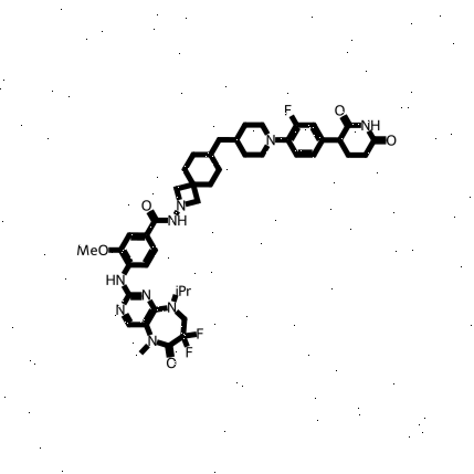 COc1cc(C(=O)NN2CC3(CCC(CC4CCN(c5ccc(C6CCC(=O)NC6=O)cc5F)CC4)CC3)C2)ccc1Nc1ncc2c(n1)N(C(C)C)CC(F)(F)C(=O)N2C